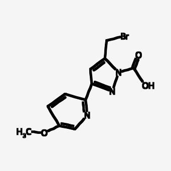 COc1ccc(-c2cc(CBr)n(C(=O)O)n2)nc1